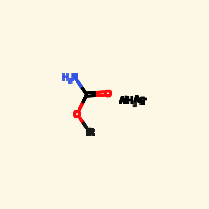 CCOC(N)=O.[Ag].[AlH3]